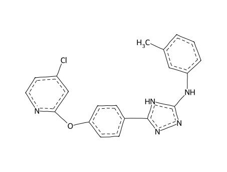 Cc1cccc(Nc2nnc(-c3ccc(Oc4cc(Cl)ccn4)cc3)[nH]2)c1